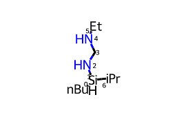 CCCC[SiH](NCNCC)C(C)C